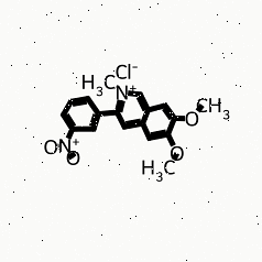 COc1cc2cc(-c3cccc([N+](=O)[O-])c3)[n+](C)cc2cc1OC.[Cl-]